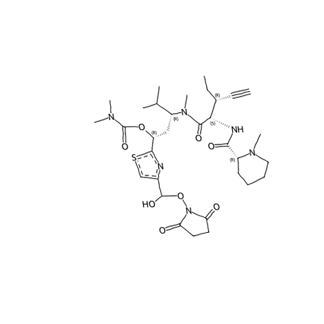 C#C[C@@H](CC)[C@H](NC(=O)[C@H]1CCCCN1C)C(=O)N(C)[C@H](C[C@@H](OC(=O)N(C)C)c1nc(C(O)ON2C(=O)CCC2=O)cs1)C(C)C